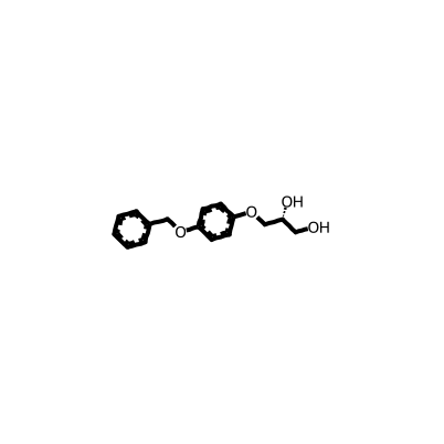 OC[C@@H](O)COc1ccc(OCc2ccccc2)cc1